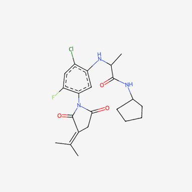 CC(C)=C1CC(=O)N(c2cc(NC(C)C(=O)NC3CCCC3)c(Cl)cc2F)C1=O